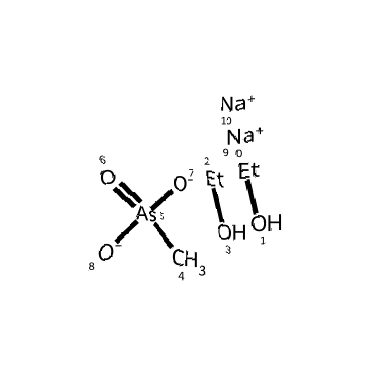 CCO.CCO.C[As](=O)([O-])[O-].[Na+].[Na+]